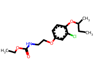 CCOC(=O)NCCOc1ccc(OC(C)CC)c(Cl)c1